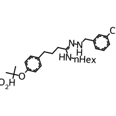 CCCCCCN/C(CCCc1ccc(OC(C)(C)C(=O)O)cc1)=N\NCc1cccc(C(F)(F)F)c1